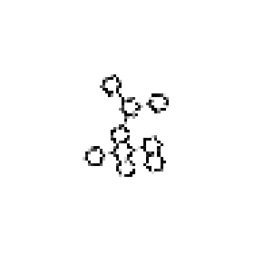 c1ccc(-c2nc(-c3ccccc3)nc(-c3ccc4c(-c5ccccc5)c5ccccc5c(-c5cccc6ccccc56)c4c3)n2)cc1